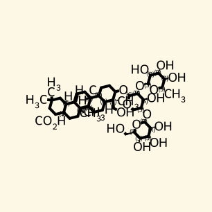 C[C@@H]1O[C@@H](O[C@H]2[C@H](OC3CC[C@@]4(C)[C@@H](CC[C@]5(C)[C@@H]4CC=C4[C@@H]6CC(C)(C)CC[C@]6(C(=O)O)CC[C@]45C)[C@]3(C)CO)OC[C@H](O[C@H]3O[C@H](CO)[C@@H](O)[C@H](O)[C@H]3O)[C@@H]2O)[C@H](O)[C@H](O)[C@H]1O